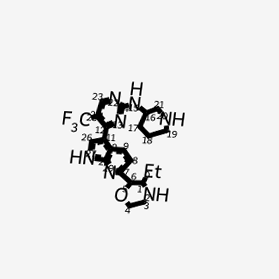 CCC1NCCOC1c1ccc2c(-c3nc(NC4CCCNC4)ncc3C(F)(F)F)c[nH]c2n1